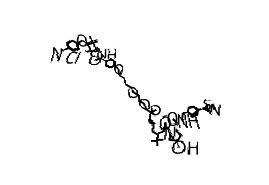 CC(C)(C)C(C/C=C/C(=O)COCCOCCCCOc1ccc(C(=O)N[C@H]2C(C)(C)[C@H](Oc3ccc(C#N)c(Cl)c3)C2(C)C)cc1)C(=O)N1C[C@H](O)C[C@H]1C(=O)NCc1ccc(-c2cncs2)cc1